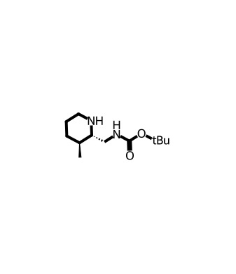 C[C@H]1CCCN[C@@H]1CNC(=O)OC(C)(C)C